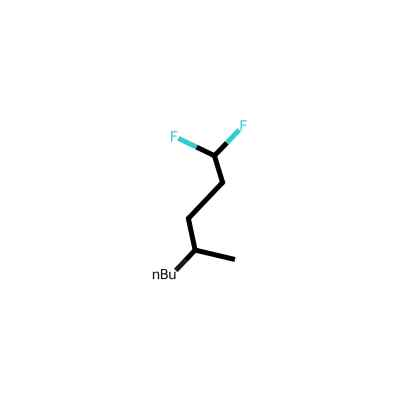 CCCCC(C)CCC(F)F